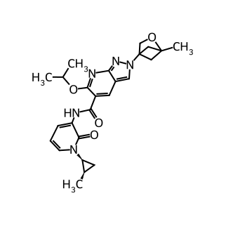 CC(C)Oc1nc2nn(C34COC(C)(C3)C4)cc2cc1C(=O)Nc1cccn([C@H]2C[C@H]2C)c1=O